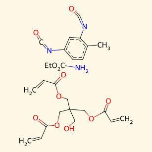 C=CC(=O)OCC(CO)(COC(=O)C=C)COC(=O)C=C.CCOC(N)=O.Cc1ccc(N=C=O)cc1N=C=O